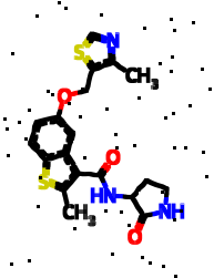 Cc1ncsc1COc1ccc2sc(C)c(C(=O)NC3CCNC3=O)c2c1